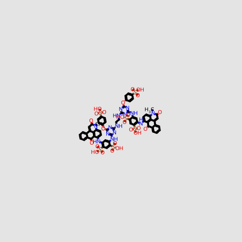 Cn1c(=O)cc2c3c(c(Nc4cc(Nc5nc(NCCNc6nc(Nc7cc(Nc8ccc9c%10c(cc(=O)n9C)-c9ccccc9C(=O)c8%10)c(S(=O)(=O)O)cc7S(=O)(=O)O)nc(Oc7ccc(S(=O)(=O)O)cc7)n6)nc(Oc6ccc(S(=O)(=O)O)cc6)n5)c(S(=O)(=O)O)cc4S(=O)(=O)O)ccc31)C(=O)c1ccccc1-2